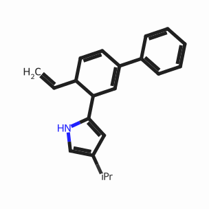 C=CC1C=CC(c2ccccc2)=CC1c1cc(C(C)C)c[nH]1